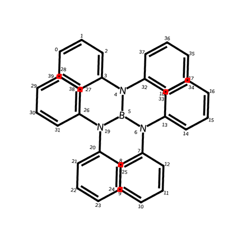 c1ccc(N(B(N(c2ccccc2)c2ccccc2)N(c2ccccc2)c2ccccc2)c2ccccc2)cc1